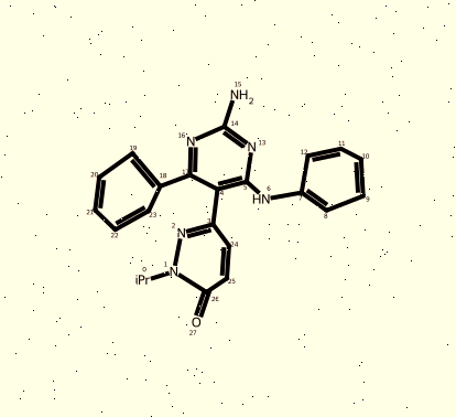 CC(C)n1nc(-c2c(Nc3ccccc3)nc(N)nc2-c2ccccc2)ccc1=O